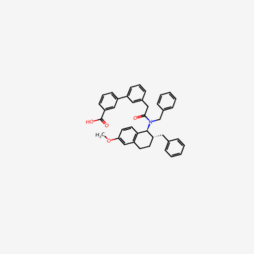 COc1ccc2c(c1)CC[C@@H](Cc1ccccc1)[C@@H]2N(Cc1ccccc1)C(=O)Cc1cccc(-c2cccc(C(=O)O)c2)c1